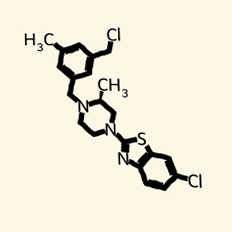 Cc1cc(CCl)cc(CN2CCN(c3nc4ccc(Cl)cc4s3)C[C@@H]2C)c1